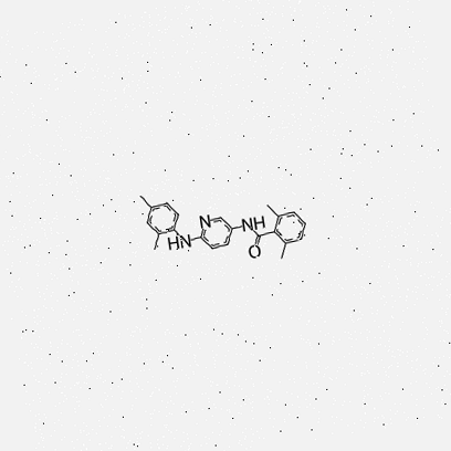 Cc1ccc(Nc2ccc(NC(=O)c3c(C)cccc3C)cn2)c(C)c1